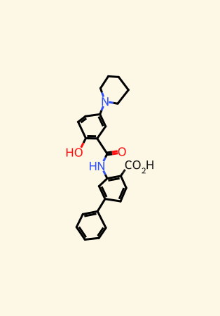 O=C(Nc1cc(-c2ccccc2)ccc1C(=O)O)c1cc(N2CCCCC2)ccc1O